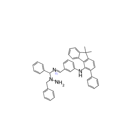 CC1(C)c2ccccc2-c2c1ccc(-c1ccccc1)c2Nc1cccc(/C=N/C(c2ccccc2)N(N)Cc2ccccc2)c1